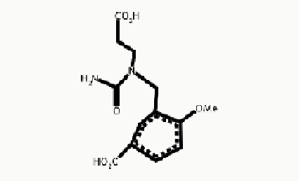 COc1ccc(C(=O)O)cc1CN(CCC(=O)O)C(N)=O